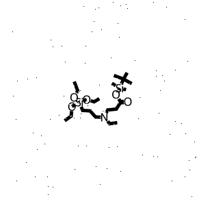 CCO[Si](CCCN(CC)CCC(=O)O[Si](C)(C)C(C)(C)C)(OCC)OCC